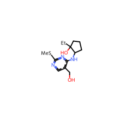 CCC1(O)CCCC1Nc1nc(SC)ncc1CO